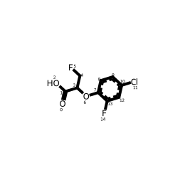 O=C(O)C(CF)Oc1ccc(Cl)cc1F